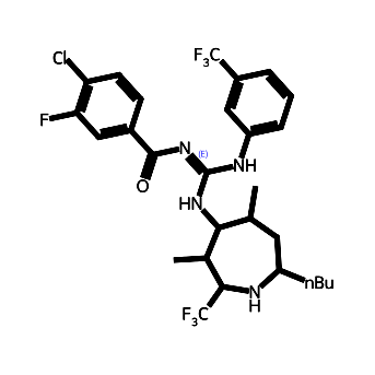 CCCCC1CC(C)C(N/C(=N\C(=O)c2ccc(Cl)c(F)c2)Nc2cccc(C(F)(F)F)c2)C(C)C(C(F)(F)F)N1